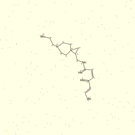 CC(C)(C)/C=C/C(=N)/C=C\C(=N)NCC1CC12CCN(CCC(C)(C)C)CC2